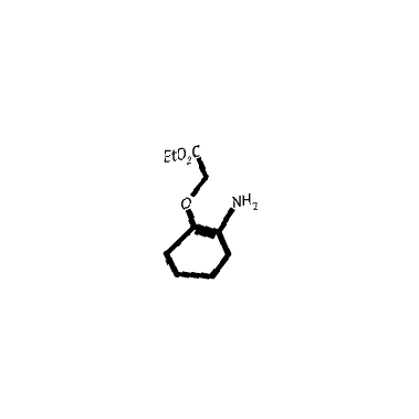 CCOC(=O)COC1=C(N)CCCC1